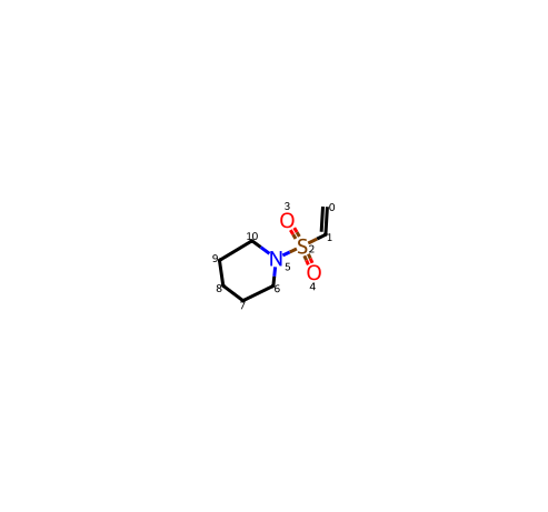 C=CS(=O)(=O)N1CCCCC1